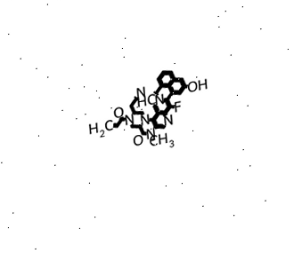 C#Cc1cccc2cc(O)cc(-c3ncc4c5c(cnc4c3F)N(C)C(=O)C3CN(C(=O)C=C)C(CC#N)CN53)c12